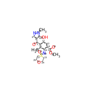 Bc1c(C(=O)c2cnn(C)c2O)ccc(C(=O)OC)c1N=S1(=O)CCOCC1